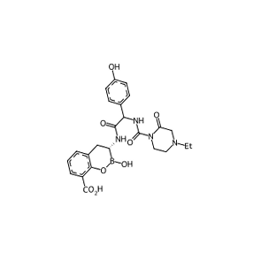 CCN1CCN(C(=O)NC(C(=O)N[C@H]2Cc3cccc(C(=O)O)c3OB2O)c2ccc(O)cc2)C(=O)C1